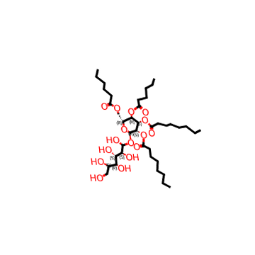 CCCCCCCC(=O)O[C@@H]1[C@H](OC(=O)CCCCCCC)[C@@H](OC(O)[C@@H](O)[C@@H](O)[C@H](O)[C@H](O)CO)O[C@H](COC(=O)CCCCC)[C@H]1OC(=O)CCCCC